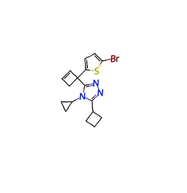 Brc1ccc(C2(c3nnc(C4CCC4)n3C3CC3)C=CC2)s1